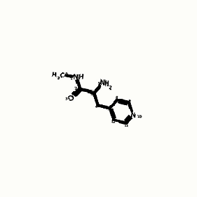 CNC(=O)C(N)Cc1ccncc1